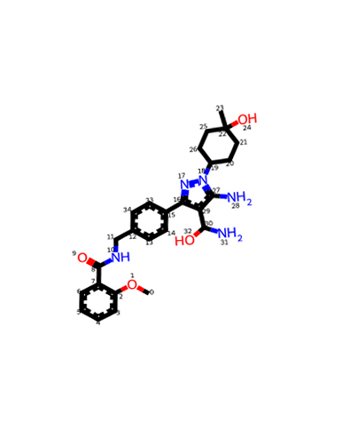 COc1ccccc1C(=O)NCc1ccc(-c2nn(C3CCC(C)(O)CC3)c(N)c2C(N)O)cc1